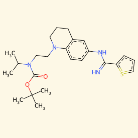 CC(C)N(CCN1CCCc2cc(NC(=N)c3cccs3)ccc21)C(=O)OC(C)(C)C